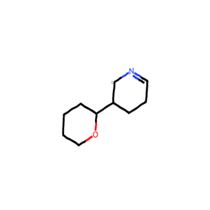 [C]1N=CCCC1C1CCCCO1